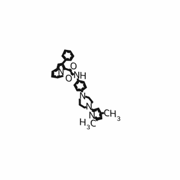 Cc1cc(C)nc(N2CCCN(c3ccc(NC(=O)C(=O)c4c(-c5ccccc5)cc5ccccn45)cc3)CC2)c1